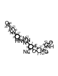 C[C@H]1CC(Oc2ccc(-c3ncnc(Nc4ccc(N5CCN(C6COC6)CC5)cc4)n3)cc2C#N)[C@@H](F)CN1C(=O)[C@@H]1CCC(=O)N1